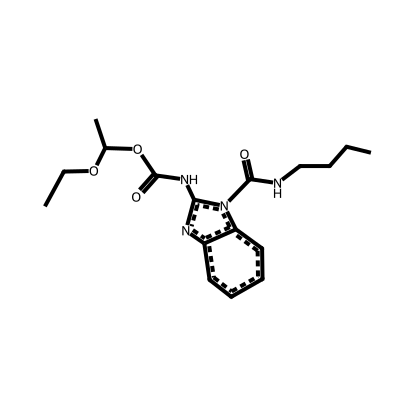 CCCCNC(=O)n1c(NC(=O)OC(C)OCC)nc2ccccc21